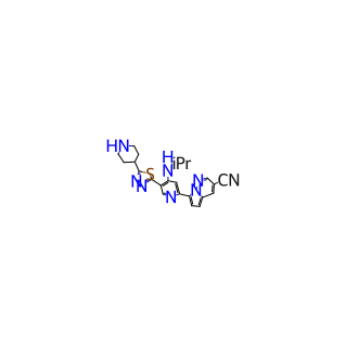 CC(C)Nc1cc(-c2ccc3cc(C#N)cnn23)ncc1-c1nnc(C2CCNCC2)s1